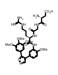 COc1ccc(-c2cnsc2-c2cc(OC)c(OC)c(OC)c2)cc1NC(=O)[C@@H](CCCNC(=N)N)NC(=O)CNC(=O)[C@H](N)CC(=O)O